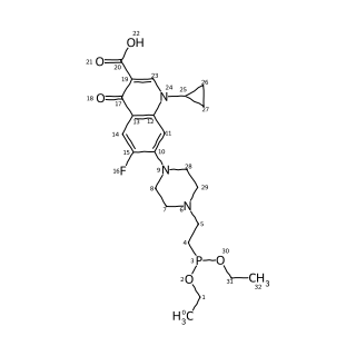 CCOP(CCN1CCN(c2cc3c(cc2F)c(=O)c(C(=O)O)cn3C2CC2)CC1)OCC